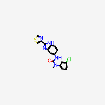 CN(C(=O)Nc1ccc2[nH]c(-c3cscn3)nc2c1)c1cccc(Cl)c1